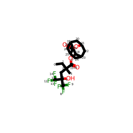 CCC(C)(CC(O)(C(F)(F)F)C(F)(F)F)C(=O)OC1C2CC3CC1CC(C2)C(=O)O3